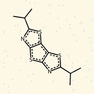 CC(C)c1nc2sc3nc(C(C)C)sc3c2s1